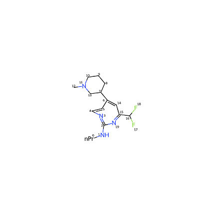 CCCNC1=N\C=C\C(C2CCCN(C)C2)=C/C(C(F)F)=N\1